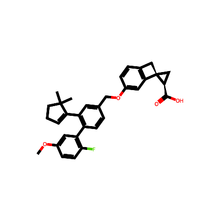 COc1ccc(F)c(-c2ccc(COc3ccc4c(c3)[C@]3(C4)C[C@H]3C(=O)O)cc2C2=CCCC2(C)C)c1